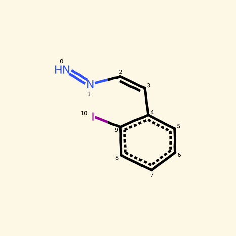 N=N/C=C\c1ccccc1I